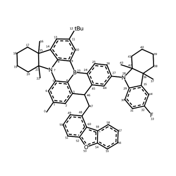 Cc1cc2c3c(c1)N1c4c(cc(C(C)(C)C)cc4C4(C)CCCCC14C)B3c1ccc(N3c4ccc(F)cc4C4(C)CCCCC34C)cc1C2Cc1cccc2oc3ccccc3c12